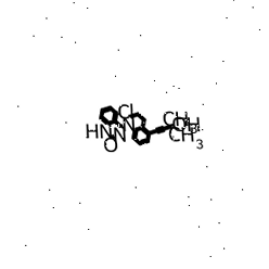 CC(C)(O)C#Cc1cccc2c1CCCN2c1nc(=O)[nH]c2cccc(Cl)c12